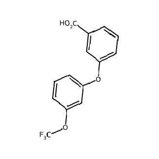 O=C(O)c1cccc(Oc2cccc(OC(F)(F)F)c2)c1